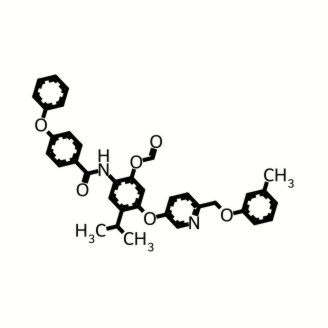 Cc1cccc(OCc2ccc(Oc3cc(OC=O)c(NC(=O)c4ccc(Oc5ccccc5)cc4)cc3C(C)C)cn2)c1